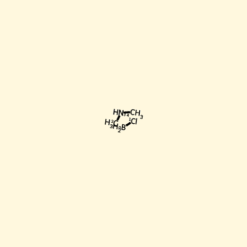 BCl.CNC